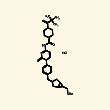 CNCC1C2CN(Cc3ccc(-n4ccc(NC(=O)N5CCN(C(=O)C(C)(C)N)CC5)nc4=O)cc3)CC12.Cl